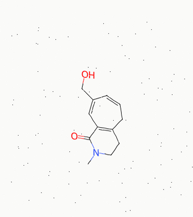 CN1CCC2=C(C=C(CO)C=CC2)C1=O